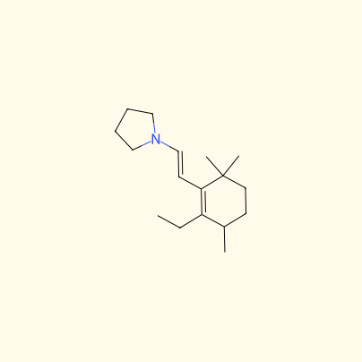 CCC1=C(C=CN2CCCC2)C(C)(C)CCC1C